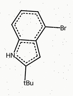 CC(C)(C)c1cc2c(Br)cccc2[nH]1